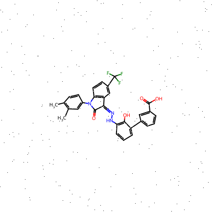 Cc1ccc(N2C(=O)C(=NNc3cccc(-c4cccc(C(=O)O)c4)c3O)c3cc(C(F)(F)F)ccc32)cc1C